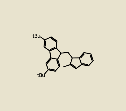 CC1=Cc2ccccc2C1CC1c2ccc(C(C)(C)C)cc2-c2cc(C(C)(C)C)ccc21